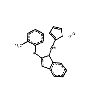 Cc1ccccc1PC1=Cc2ccccc2[CH]1[Zr+2][C]1=CC=CC1.[Cl-].[Cl-]